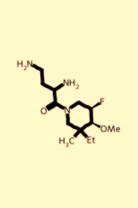 CCC1(C)CN(C(=O)C(N)CCN)C[C@@H](F)[C@H]1OC